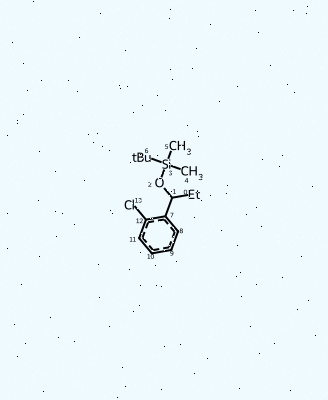 CCC(O[Si](C)(C)C(C)(C)C)c1ccccc1Cl